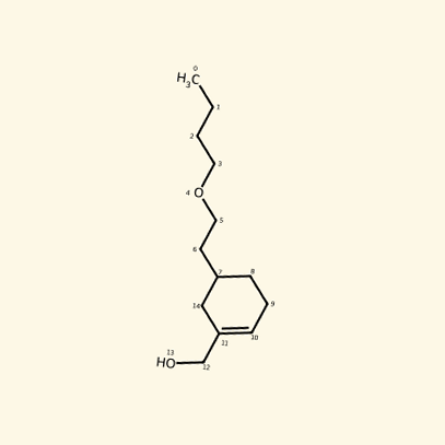 CCCCOCCC1CCC=C(CO)C1